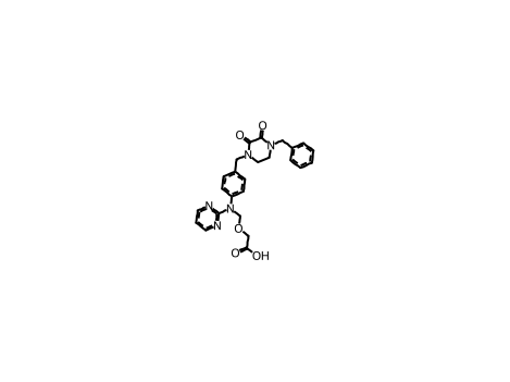 O=C(O)COCN(c1ccc(CN2CCN(Cc3ccccc3)C(=O)C2=O)cc1)c1ncccn1